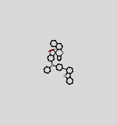 c1ccc(N(c2ccc(-c3cccc4c3oc3ccccc34)cc2)c2ccc3c(c2)C2(c4ccccc4Sc4ccc5ccccc5c42)c2ccccc2-3)cc1